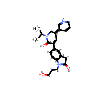 CC(C)N1CC(=C2C=CCN=C2)C=C(c2ccc3c(c2)CC(=O)N3CCCO)C1=O